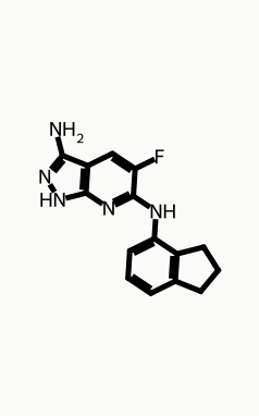 Nc1n[nH]c2nc(Nc3cccc4c3CCC4)c(F)cc12